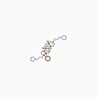 C[C@]12CC[C@H](OCCN3CCCC3)C[C@H]1CC[C@@H]1[C@@H]2CC[C@]2(C)[C@](OCCN3CCCC3)(c3ccccc3)CC[C@]12O